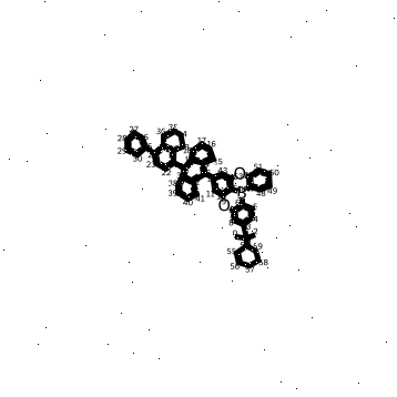 CC(C)(c1ccc2c(c1)Oc1cc(-c3c4ccccc4c(-c4ccc(-c5ccccc5)c5c4CCC=C5)c4ccccc34)cc3c1B2c1ccccc1O3)C1C=CCCC1